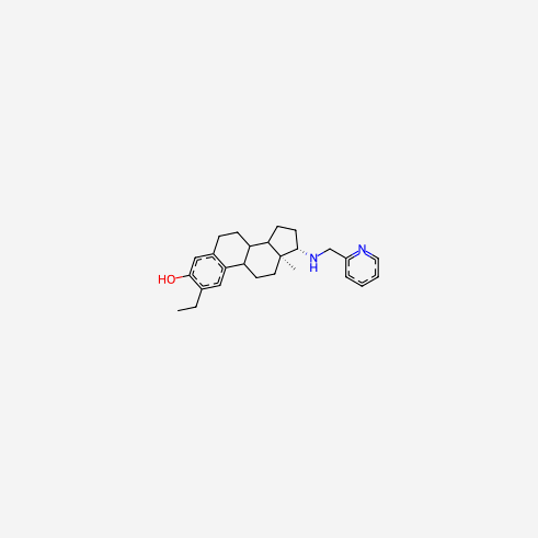 CCc1cc2c(cc1O)CCC1C2CC[C@@]2(C)C1CC[C@@H]2NCc1ccccn1